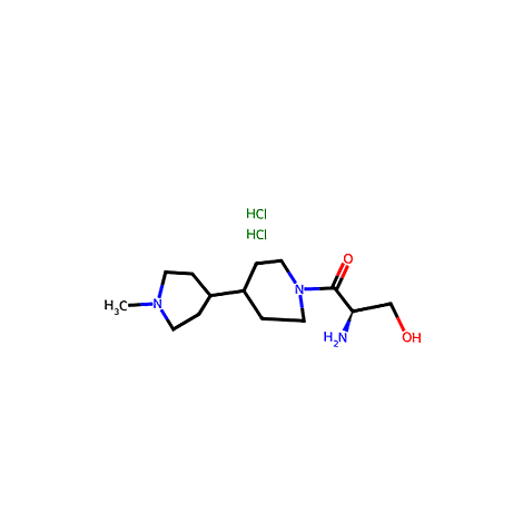 CN1CCC(C2CCN(C(=O)[C@H](N)CO)CC2)CC1.Cl.Cl